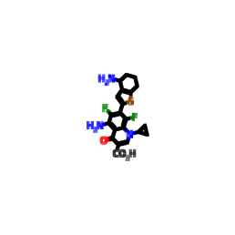 Nc1c(F)c(-c2cc3c(s2)CCCC3N)c(F)c2c1c(=O)c(C(=O)O)cn2C1CC1